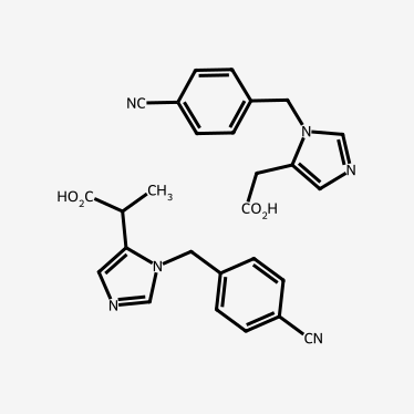 CC(C(=O)O)c1cncn1Cc1ccc(C#N)cc1.N#Cc1ccc(Cn2cncc2CC(=O)O)cc1